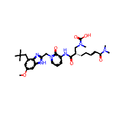 COc1cc(CC(C)(C)C)c2nc(Cn3cccc(NC(=O)[C@@H](CC/C=C/C(=O)N(C)C)CN(C)C(=O)O)c3=O)[nH]c2c1